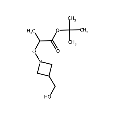 CC(ON1CC(CO)C1)C(=O)OC(C)(C)C